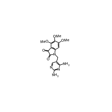 COc1cc2c(c(OC)c1OC)C(=O)C(=O)N2Cc1cnc(N)nc1N